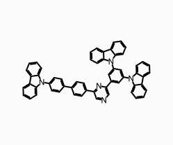 c1ccc2c(c1)c1ccccc1n2-c1ccc(-c2ccc(-c3cncc(-c4cc(-n5c6ccccc6c6ccccc65)cc(-n5c6ccccc6c6ccccc65)c4)n3)cc2)cc1